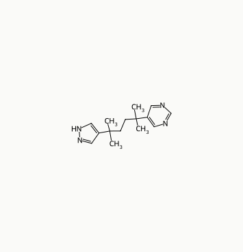 CC(C)(CCC(C)(C)c1cn[nH]c1)c1cncnc1